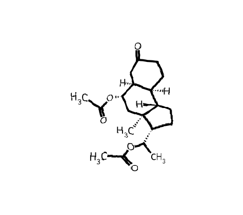 CC(=O)OC(C)[C@H]1CC[C@H]2[C@@H]3CCC(=O)C[C@@H]3[C@@H](OC(C)=O)C[C@]12C